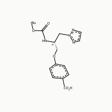 CC(C)(C)OC(=O)N[C@@H](COc1ccc(C(=O)O)cc1)Cn1nccn1